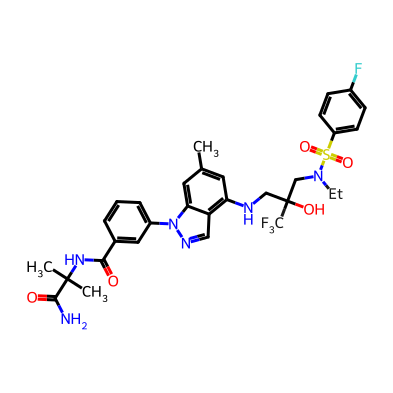 CCN(CC(O)(CNc1cc(C)cc2c1cnn2-c1cccc(C(=O)NC(C)(C)C(N)=O)c1)C(F)(F)F)S(=O)(=O)c1ccc(F)cc1